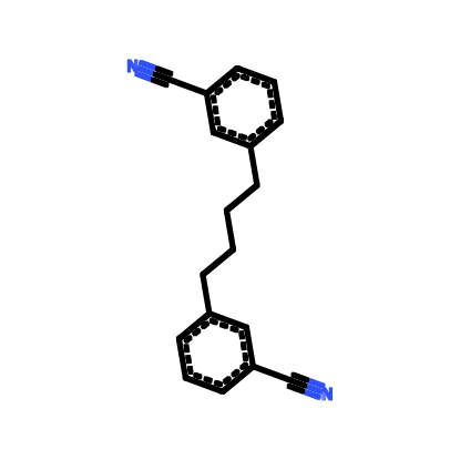 N#Cc1cccc(CCCCc2cccc(C#N)c2)c1